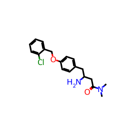 CN(C)C(=O)CC(N)Cc1ccc(OCc2ccccc2Cl)cc1